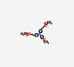 C=COc1ccc(N(c2ccc(CCCOC(=O)C=C)cc2)c2ccc(CCCOC(=O)C=C)cc2)cc1